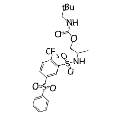 CC(COC(=O)NCC(C)(C)C)NS(=O)(=O)c1cc(S(=O)(=O)c2ccccc2)ccc1C(F)(F)F